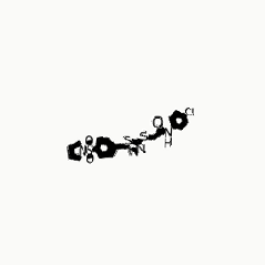 O=C(CSc1nnc(-c2ccc(S(=O)(=O)N3CCCC3)cc2)s1)Nc1ccc(Cl)cc1